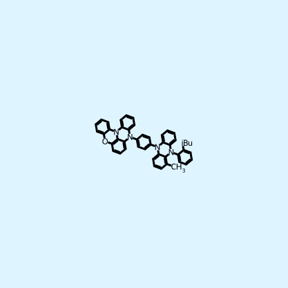 CCC(C)c1ccccc1N1c2ccccc2N(c2ccc(N3c4ccccc4N4c5ccccc5Oc5cccc3c54)cc2)c2cccc(C)c21